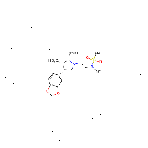 CCCCC[C@@H]1[C@@H](C(=O)O)[C@@H](c2ccc3c(c2)OCO3)CN1CCN(CCC)S(=O)(=O)CCC